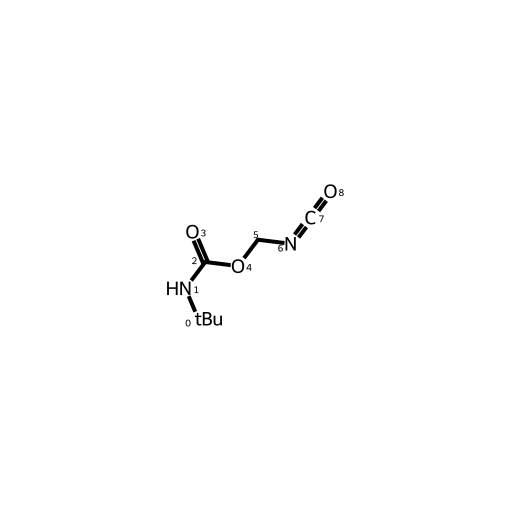 CC(C)(C)NC(=O)OCN=C=O